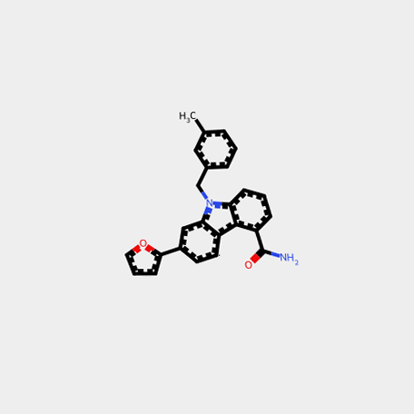 Cc1cccc(Cn2c3cc(-c4ccco4)c[c]c3c3c(C(N)=O)cccc32)c1